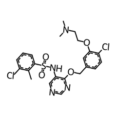 Cc1c(Cl)cccc1S(=O)(=O)Nc1cncnc1OCc1ccc(Cl)c(OCCN(C)C)c1